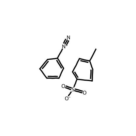 Cc1ccc(S(=O)(=O)[O-])cc1.N#[N+]c1ccccc1